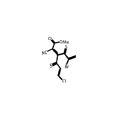 C=C(Br)C(=S)C(C(=S)C=CCl)=C(C#N)C(=O)OC